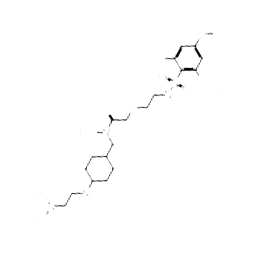 COc1cc(C)c(S(=O)(=O)N(C)CCOCC(=O)N(C)CC2CCC(NCCN(C)C)CC2)c(C)c1